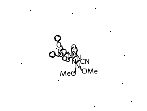 COCCN(CCOC)c1nc(C(=O)N[C@H](CC(=O)COc2ccccc2)C(=O)OCc2ccccc2)c(N2CCOCC2)nc1C#N